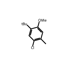 COc1cc(C)c(Cl)cc1C(C)(C)C